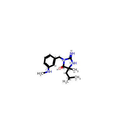 CNc1cccc(CN2C(=N)NC(C)(CC(C)C)C2=O)c1